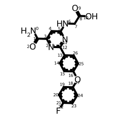 NC(=O)c1cc(NCC(=O)O)nc(-c2ccc(Oc3ccc(F)cc3)cc2)n1